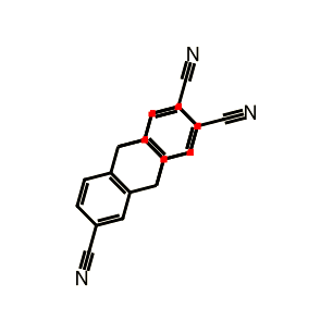 N#Cc1ccc2c(c1)C1c3ccc(C#N)cc3C2c2cc(C#N)ccc21